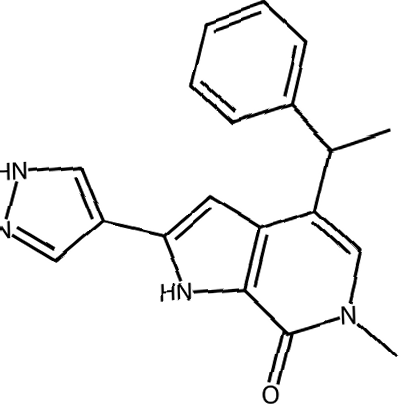 CC(c1ccccc1)c1cn(C)c(=O)c2[nH]c(-c3cn[nH]c3)cc12